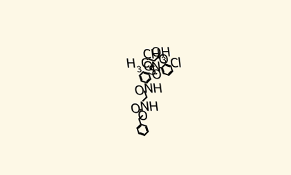 CC(C)C(C(=O)O)N(c1cccc(Cl)c1)S(=O)(=O)c1cccc(NC(=O)CCNC(=O)OCc2ccccc2)c1